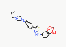 c1cc2c(cc1Nc1nc(-c3ccc(N4CCN(CC5CC5)CC4)cc3)cs1)OCO2